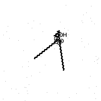 CCCCCCCCCCCCCCCCCCOC(=O)C(Cc1cc(C)cc(C(C)(C)C)c1O)C(=O)OCCCCCCCCCCCCCCCCCC